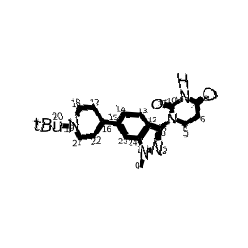 Cn1nc(N2CCC(=O)NC2=O)c2ccc(C3CCN(C(C)(C)C)CC3)cc21